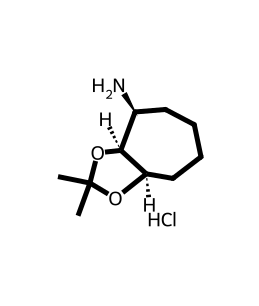 CC1(C)O[C@H]2[C@@H](N)CCCC[C@H]2O1.Cl